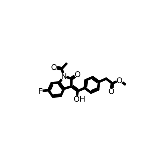 COC(=O)Cc1ccc(C(O)=C2C(=O)N(C(C)=O)c3cc(F)ccc32)cc1